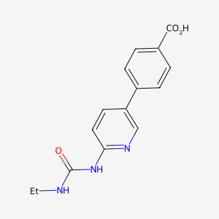 CCNC(=O)Nc1ccc(-c2ccc(C(=O)O)cc2)cn1